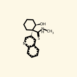 CNC(=S)[C@@]1(c2cnc3ccccc3c2)CCCC[C@H]1O